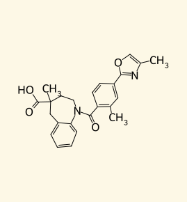 Cc1coc(-c2ccc(C(=O)N3CCC(C)(C(=O)O)Cc4ccccc43)c(C)c2)n1